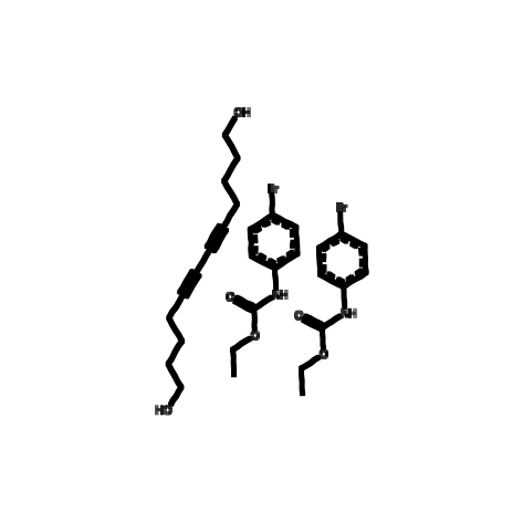 CCOC(=O)Nc1ccc(Br)cc1.CCOC(=O)Nc1ccc(Br)cc1.OCCCCC#CC#CCCCCO